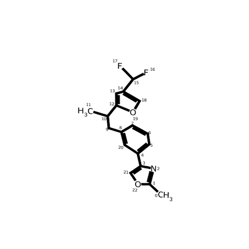 Cc1nc(-c2cccc(CC(C)c3cc(C(F)F)co3)c2)co1